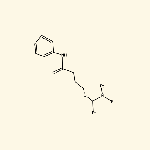 CCC(OCCCC(=O)Nc1ccccc1)N(CC)CC